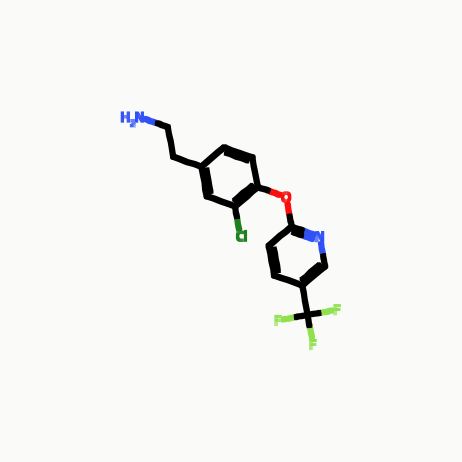 NCCc1ccc(Oc2ccc(C(F)(F)F)cn2)c(Cl)c1